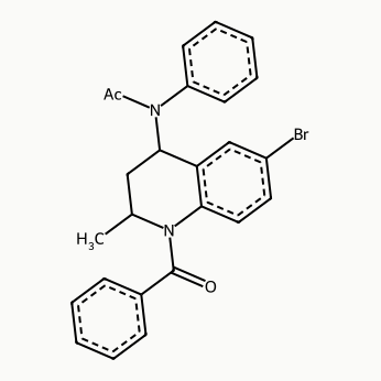 CC(=O)N(c1ccccc1)C1CC(C)N(C(=O)c2ccccc2)c2ccc(Br)cc21